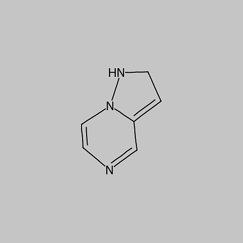 C1=CN2NCC=C2C=N1